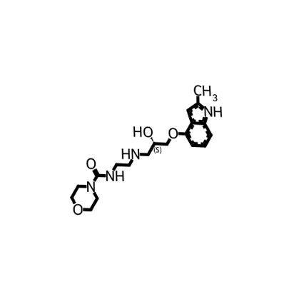 Cc1cc2c(OC[C@@H](O)CNCCNC(=O)N3CCOCC3)cccc2[nH]1